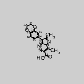 CC1=NC2C(C)=C(C(=O)O)N=NC2=C1c1ccc2c(c1)OCCO2